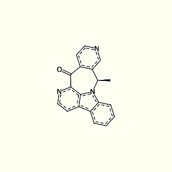 C[C@@H]1c2cnccc2C(=O)c2nccc3c4ccccc4n1c23